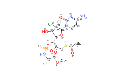 CC(C)OC(=O)[C@H](C)NP(=S)(OCCSC(=O)C(C)(C)C)OC[C@H]1O[C@@H](n2ccc(N)nc2=O)C(Cl)(Cl)[C@@H]1O